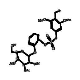 COc1cc(OS(=O)(=O)Oc2ccccc2OC2O[C@H](COC(C)=O)[C@H](OC(C)=O)[C@H](OC(C)=O)C2OC(C)=O)cc(OC)c1CBr